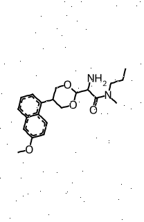 CCCN(C)C(=O)C(N)C1OCC(c2cccc3cc(OC)ccc23)CO1